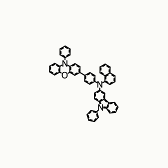 c1ccc(N2c3ccccc3Oc3cc(-c4ccc(N(c5ccc6c(c5)c5ccccc5n6-c5ccccc5)c5cccc6ccccc56)cc4)ccc32)cc1